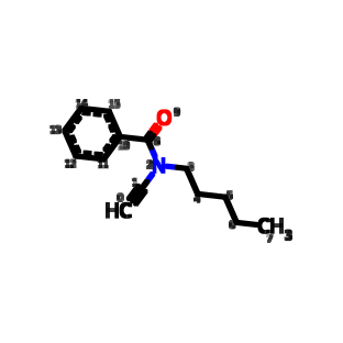 C#CN(CCCCC)C(=O)c1ccccc1